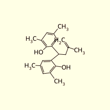 C=C(C)CC(c1cc(C)cc(C)c1O)c1cc(C)cc(C)c1O